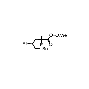 CCC(CC(C)(C)C)CC(F)(F)C(=O)OOC